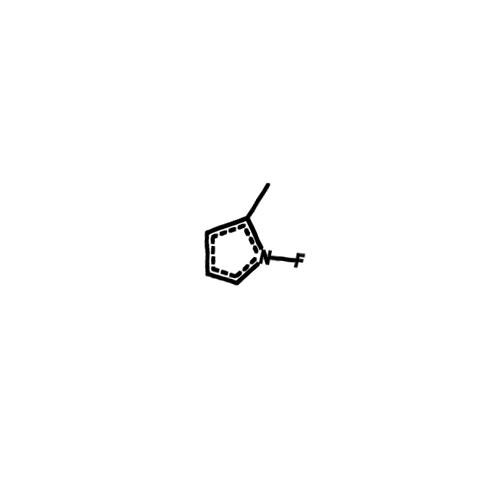 Cc1cccn1F